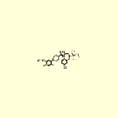 COc1cc(N2CCC(c3nnc4n3-c3ccc(Cl)cc3CN(C(C)(C)C(F)(F)F)C4)CC2)c(F)cc1F